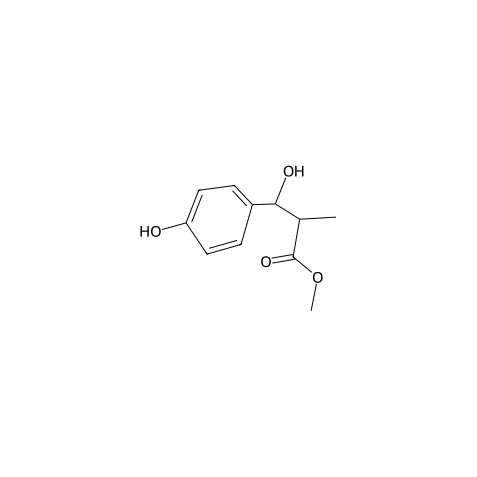 COC(=O)C(C)C(O)c1ccc(O)cc1